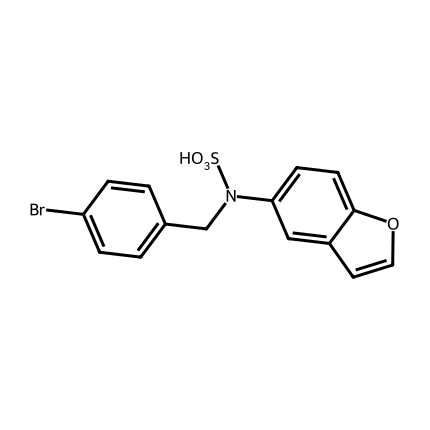 O=S(=O)(O)N(Cc1ccc(Br)cc1)c1ccc2occc2c1